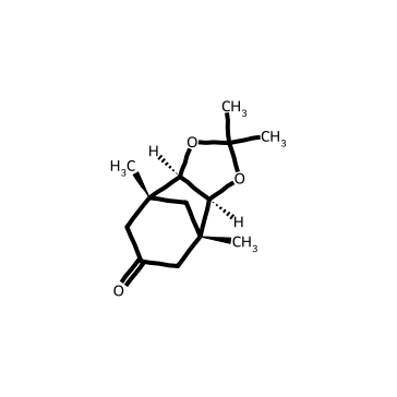 CC1(C)O[C@@H]2[C@H](O1)[C@@]1(C)CC(=O)C[C@]2(C)C1